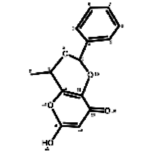 CC1OC(c2ccccc2)Oc2c1oc(O)cc2=O